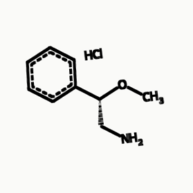 CO[C@H](CN)c1ccccc1.Cl